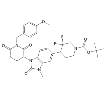 COc1ccc(CN2C(=O)CCC(n3c(=O)n(C)c4cc(C5CCN(C(=O)OC(C)(C)C)CC5(F)F)ccc43)C2=O)cc1